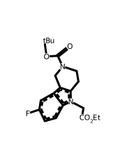 CCOC(=O)Cn1c2c(c3cc(F)ccc31)CN(C(=O)OC(C)(C)C)CC2